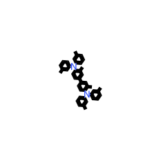 Cc1cccc(N(c2cccc(C)c2)c2ccc(-c3ccc(N(c4cccc(C)c4)c4cccc(C)c4)c(C)c3)cc2C)c1